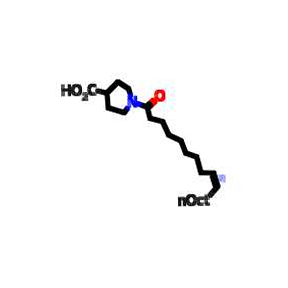 CCCCCCCC/C=C\CCCCCCCC(=O)N1CCC(C(=O)O)CC1